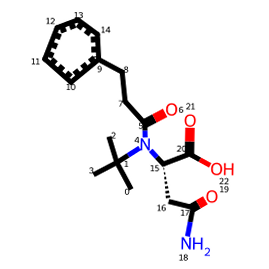 CC(C)(C)N(C(=O)CCc1ccccc1)[C@@H](CC(N)=O)C(=O)O